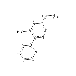 Cc1nc(NN)nnc1-c1ccccn1